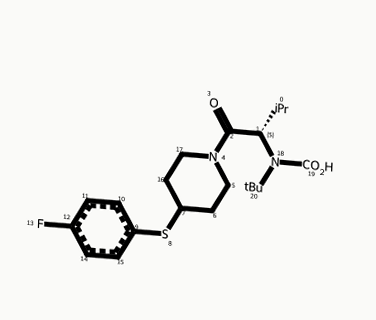 CC(C)[C@@H](C(=O)N1CCC(Sc2ccc(F)cc2)CC1)N(C(=O)O)C(C)(C)C